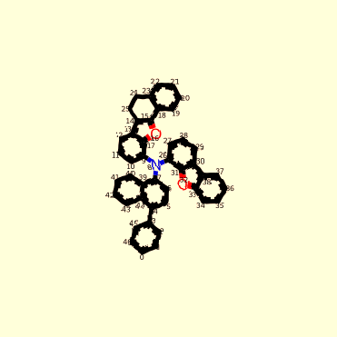 c1ccc(-c2ccc(N(c3cccc4c5c(oc34)-c3ccccc3CC5)c3cccc4c3oc3ccccc34)c3ccccc23)cc1